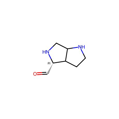 O=C[C@@H]1NCC2NCCC21